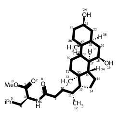 COC(=O)[C@H](CC(C)C)NC(=O)CC[C@@H](C)[C@H]1CC[C@H]2[C@@H]3[C@H](O)C[C@@H]4C[C@H](O)CC[C@]4(C)[C@H]3CC[C@]12C